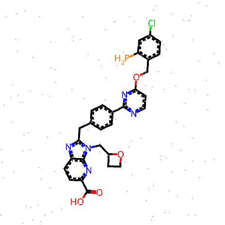 O=C(O)c1ccc2nc(Cc3ccc(-c4nccc(OCc5ccc(Cl)cc5P)n4)cc3)n(CC3CCO3)c2n1